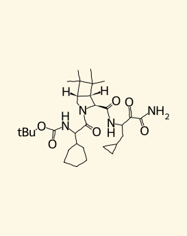 CC(C)(C)OC(=O)NC(C(=O)N1C[C@H]2[C@@H]([C@H]1C(=O)NC(CC1CC1)C(=O)C(N)=O)C(C)(C)C2(C)C)C1CCCCC1